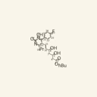 CCCCOC(=O)C[C@H](O)C[C@H](O)/C=C/c1c(C(C)C)nc(=O)n(C)c1-c1ccc(F)cc1